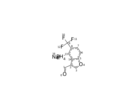 O=Cc1coc2ccc(C(F)(F)F)cc12.[BH4-].[Na+]